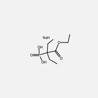 CCOC(=O)C(CC)(CC)P(=O)(O)O.[NaH]